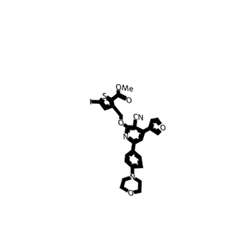 COC(=O)c1sc(I)cc1COc1nc(-c2ccc(N3CCOCC3)cc2)cc(-c2ccoc2)c1C#N